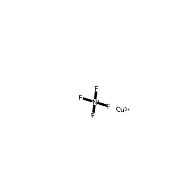 F[N+](F)(F)F.[Cu+3]